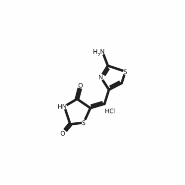 Cl.Nc1nc(C=C2SC(=O)NC2=O)cs1